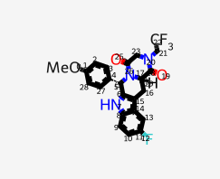 COc1ccc([C@H]2c3[nH]c4ccc(F)cc4c3C[C@H]3C(=O)N(CC(F)(F)F)CC(=O)N23)cc1